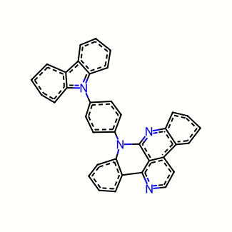 c1ccc2c(c1)-c1nccc3c1c(nc1ccccc13)N2c1ccc(-n2c3ccccc3c3ccccc32)cc1